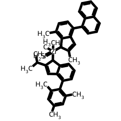 CC1=Cc2c(-c3cccc4ccccc34)ccc(C)c2[CH]1[Zr]([CH3])([CH3])(=[SiH2])[CH]1C(C(C)C)=Cc2c(-c3c(C)cc(C)cc3C)cccc21